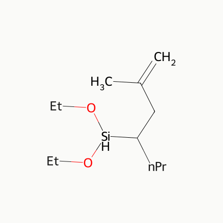 C=C(C)CC(CCC)[SiH](OCC)OCC